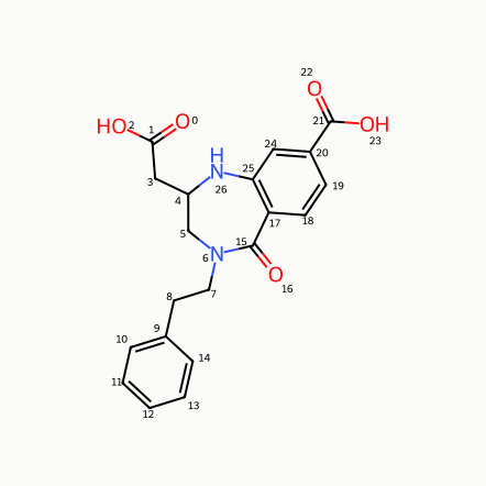 O=C(O)CC1CN(CCc2ccccc2)C(=O)c2ccc(C(=O)O)cc2N1